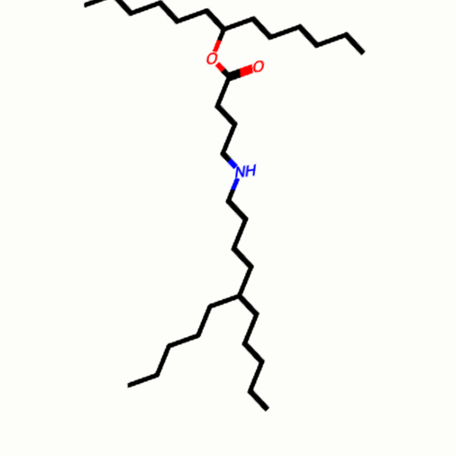 CCCCCCC(CCCCCC)OC(=O)CCCNCCCCC(CCCCC)CCCCC